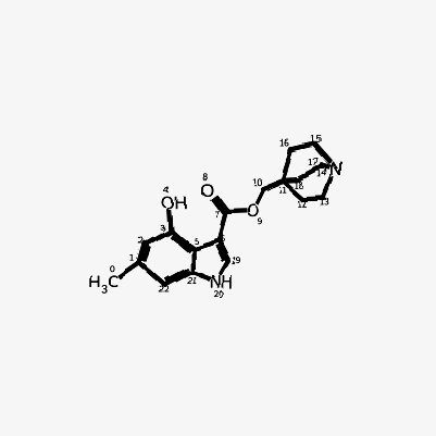 Cc1cc(O)c2c(C(=O)OCC34CCN(CC3)CC4)c[nH]c2c1